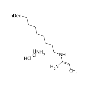 CC=C(N)NCCCCCCCCCCCCCCCCCC.Cl.Cl.N